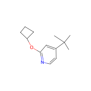 CC(C)(C)c1ccnc(OC2CCC2)c1